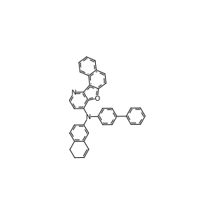 C1=Cc2cc(N(c3ccc(-c4ccccc4)cc3)c3ccnc4c3oc3ccc5ccccc5c34)ccc2CC1